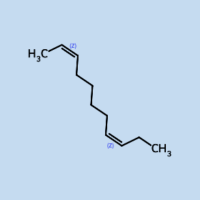 C/C=C\CCCC/C=C\CC